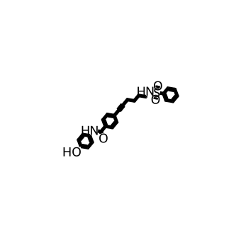 O=C(Nc1ccc(O)cc1)c1ccc(C#CCCCCNS(=O)(=O)c2ccccc2)cc1